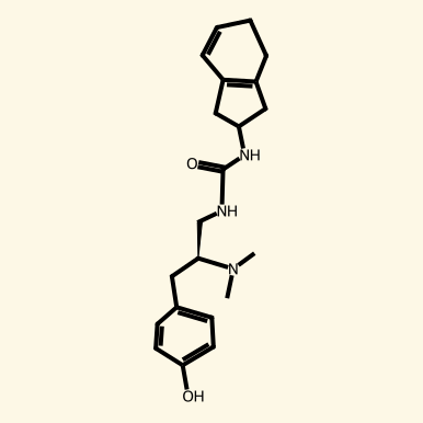 CN(C)[C@H](CNC(=O)NC1CC2=C(CCC=C2)C1)Cc1ccc(O)cc1